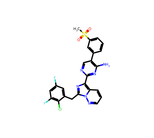 CS(=O)(=O)c1cccc(-c2cnc(-c3nc(Cc4cc(F)cc(F)c4Cl)n4ncccc34)nc2N)c1